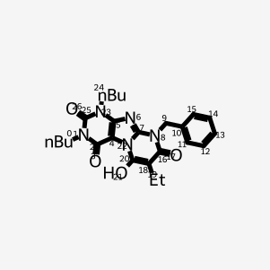 CCCCn1c(=O)c2c(nc3n(Cc4ccccc4)c(=O)c(CC)c(O)n23)n(CCCC)c1=O